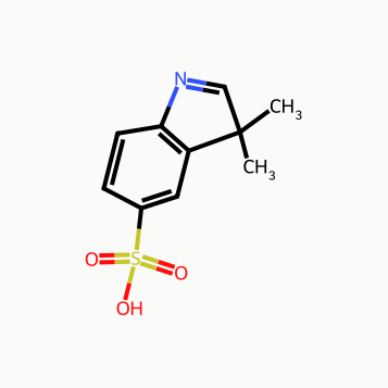 CC1(C)C=Nc2ccc(S(=O)(=O)O)cc21